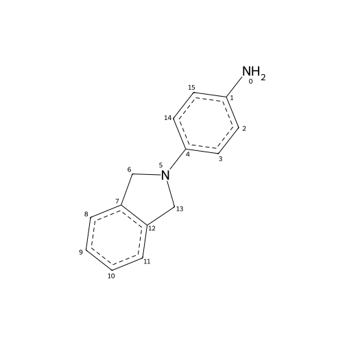 Nc1ccc(N2Cc3ccccc3C2)cc1